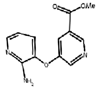 COC(=O)c1cncc(Oc2cccnc2N)c1